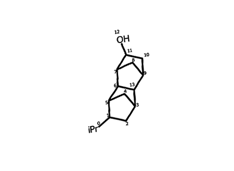 CC(C)C1CC2CC1C1C3CC(CC3O)C21